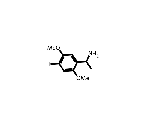 COc1cc(C(C)N)c(OC)cc1I